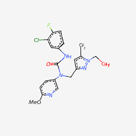 COc1ccc(N(Cc2cc(C(F)(F)F)n(CO)n2)C(=O)Nc2ccc(F)c(Cl)c2)cn1